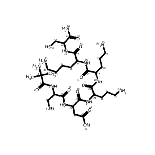 CC(C)(N)C(=O)NC(CS)C(=O)NC(CC(=O)O)C(=O)NC(CCCN)C(=O)NC(CCCN)C(=O)NC(CCCCN)C(=O)NC(CS)C(N)=O